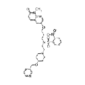 Cn1c(=O)ccc2cc(OCCCN(CCN3CCC(OCc4cccnc4)CC3)S(=O)(=O)c3ccccc3[N+](=O)[O-])ccc21